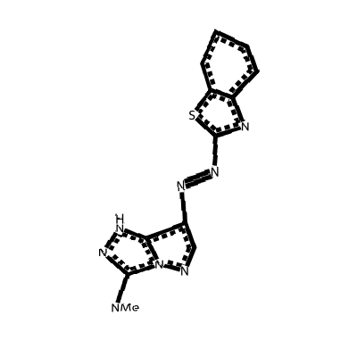 CNc1n[nH]c2c(N=Nc3nc4ccccc4s3)cnn12